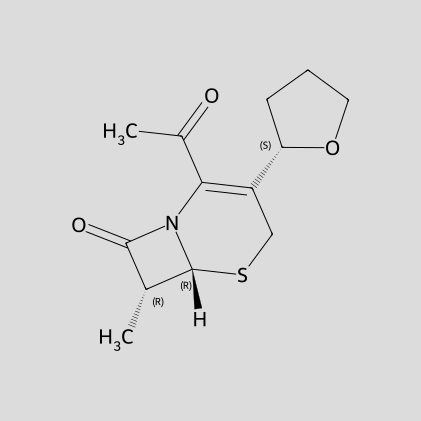 CC(=O)C1=C([C@@H]2CCCO2)CS[C@@H]2[C@H](C)C(=O)N12